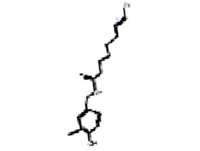 Cc1cc(CNC(=O)CCCCC/C=C/C(C)C)ccc1O